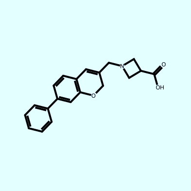 O=C(O)C1CN(CC2=Cc3ccc(-c4ccccc4)cc3OC2)C1